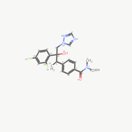 CON(C)C(=O)c1ccc(C(C)C(O)(Cn2cncn2)c2ccc(F)cc2F)cc1